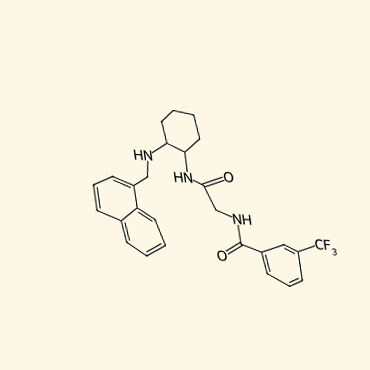 O=C(CNC(=O)c1cccc(C(F)(F)F)c1)NC1CCCCC1NCc1cccc2ccccc12